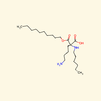 CCCCCCCCCCOC(=O)[C@@](CCCCN)(NCCCCCC)C(=O)O